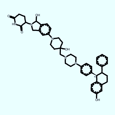 O=C1CCC(N2Cc3cc(N4CCC(O)(CN5CCN(c6ccc([C@@H]7c8ccc(O)cc8CCC7c7ccccc7)cc6)CC5)CC4)ccc3C2O)C(=O)N1